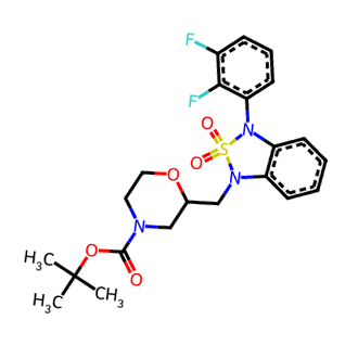 CC(C)(C)OC(=O)N1CCOC(CN2c3ccccc3N(c3cccc(F)c3F)S2(=O)=O)C1